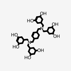 OC1=CC(O)CC(CN(CC2C=CC(CN(CC3CC(O)=CC(O)C3)CC3CC(O)CC(O)C3)CC2)CC2CC(O)CC(O)C2)C1